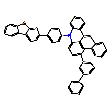 c1ccc(-c2cccc(-c3ccc(N(c4ccc(-c5ccc6c(c5)sc5ccccc56)cc4)c4ccccc4-c4ccc5ccccc5c4)cc3)c2)cc1